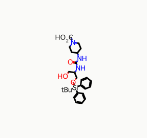 CC(C)(C)[Si](OCC(CO)NC(=O)NC1CCN(C(=O)O)CC1)(c1ccccc1)c1ccccc1